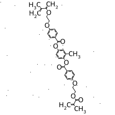 C=C(C)C(=C)OCCOc1ccc(C(=O)Oc2ccc(OC(=O)c3ccc(OCCOC(=O)C(=C)C)cc3)c(C)c2)cc1